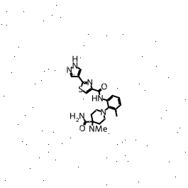 CNC1(C(N)=O)CCN(c2c(C)cccc2NC(=O)c2csc(-c3cn[nH]c3)n2)CC1